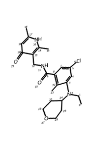 CCN(c1cc(Cl)cc(C(=O)NCc2c(C)[nH]c(C)cc2=O)c1C)C1CCOCC1